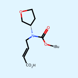 CC(C)(C)OC(=O)N(C/C=C/C(=O)O)[C@H]1CCOC1